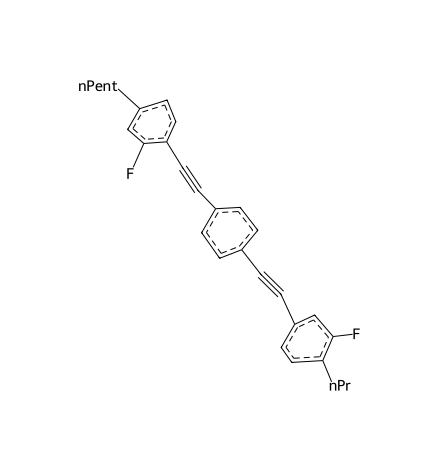 CCCCCc1ccc(C#Cc2ccc(C#Cc3ccc(CCC)c(F)c3)cc2)c(F)c1